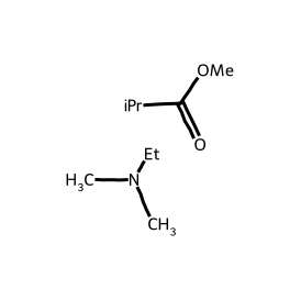 CCN(C)C.COC(=O)C(C)C